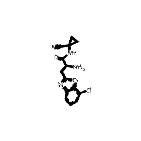 N#CC1(NC(=O)C(N)Cc2nc3cccc(Cl)c3o2)CC1